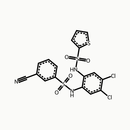 N#Cc1cccc(S(=O)(=O)Nc2cc(Cl)c(Cl)cc2NS(=O)(=O)c2cccs2)c1